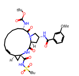 CCC(C)S(=O)(=O)NC(=O)[C@@]12C[C@H]1/C=C\CCCCC[C@H](NC(=O)OC(C)(C)C)C(=O)N1C[C@H](NC(=O)c3cccc(OC)c3)C[C@H]1C(=O)N2